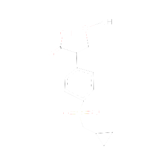 COCC(C(=O)O)c1ccc(S(=O)(=O)CC2CC2)cc1